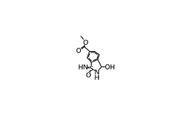 COC(=O)c1ccc2c(c1)S(=N)(=O)NC2O